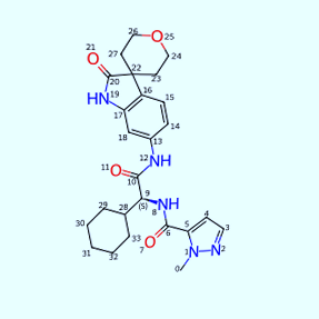 Cn1nccc1C(=O)N[C@H](C(=O)Nc1ccc2c(c1)NC(=O)C21CCOCC1)C1CCCCC1